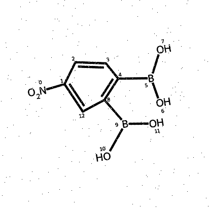 O=[N+]([O-])c1ccc(B(O)O)c(B(O)O)c1